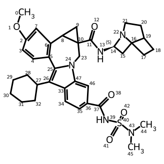 COc1ccc2c(c1)C1CC1(C(=O)N[C@@H]1CC34CCC3CCN14)Cn1c-2c(C2CCCCC2)c2ccc(C(=O)NS(=O)(=O)N(C)C)cc21